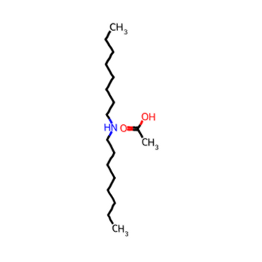 CC(=O)O.CCCCCCCCNCCCCCCCC